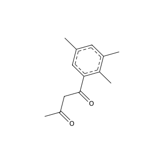 CC(=O)CC(=O)c1cc(C)cc(C)c1C